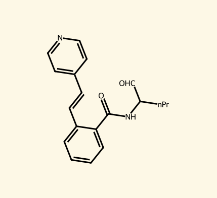 CCCC(C=O)NC(=O)c1ccccc1/C=C/c1ccncc1